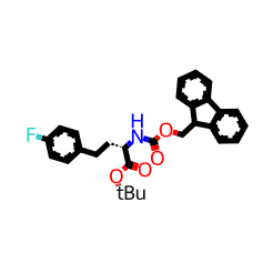 CC(C)(C)OC(=O)[C@H](CCc1ccc(F)cc1)NC(=O)OCC1c2ccccc2-c2ccccc21